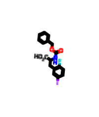 O=C(NC(Cc1cc(I)ccc1F)C(=O)O)OCc1ccccc1